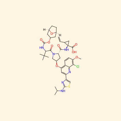 C=CC1C[C@]1(NC(=O)[C@@H]1C[C@@H](Oc2cc(-c3csc(NC(C)C)n3)nc3c(Cl)c(OC)ccc23)CN1C(=O)C(NC(=O)OC1C[C@H]2CC[C@@H](C1)O2)C(C)(C)C)C(=O)O